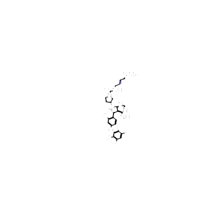 CNC(=O)/C=C/CNC(=O)N1CCC(n2nc(-c3ccc(Oc4c(F)c(F)cc(F)c4F)cc3F)c3c(N)ncnc32)C1